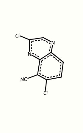 N#Cc1c(Cl)ccc2ncc(Cl)nc12